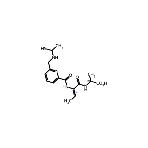 C/C=C(\NC(=O)c1cccc(CNC(C)S)n1)C(=O)N[C@@H](C)C(=O)O